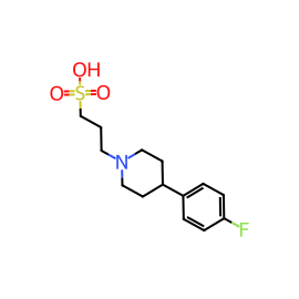 O=S(=O)(O)CCCN1CCC(c2ccc(F)cc2)CC1